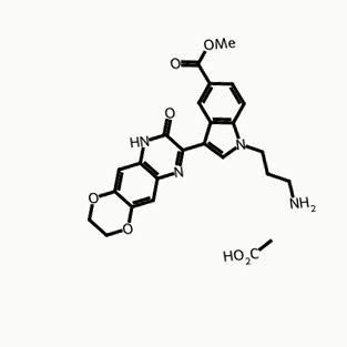 CC(=O)O.COC(=O)c1ccc2c(c1)c(-c1nc3cc4c(cc3[nH]c1=O)OCCO4)cn2CCCN